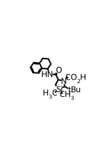 CC(C)(C)C1N(C(=O)O)C(C(=O)NC2CCCc3ccccc32)C[Si]1(C)C